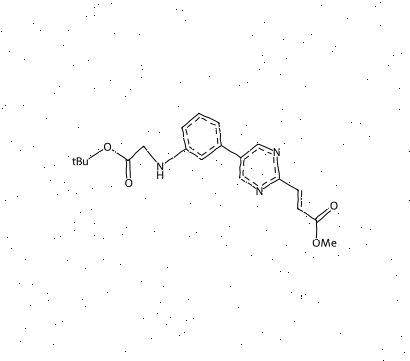 COC(=O)/C=C/c1ncc(-c2cccc(NCC(=O)OC(C)(C)C)c2)cn1